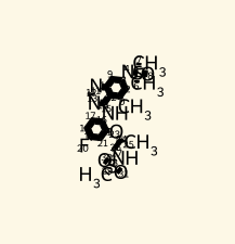 Cc1cc(N=S(C)(C)=O)cc2ncnc(Nc3ccc(F)cc3O[C@@H](C)CNS(C)(=O)=O)c12